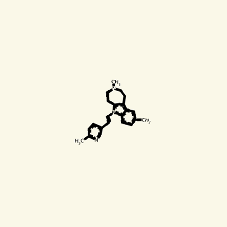 Cc1ccc2c(c1)c1c(n2/C=C/c2ccc(C)nc2)CCN(C)CC1